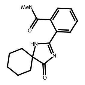 CNC(=O)c1ccccc1C1=NC(=O)C2(CCCCC2)N1